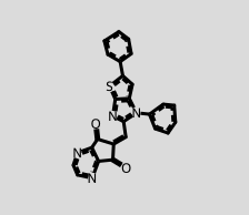 O=C1C(=Cc2nc3sc(-c4ccccc4)cc3n2-c2ccccc2)C(=O)c2nccnc21